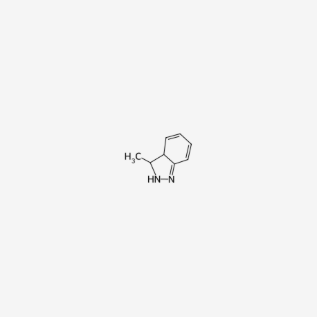 CC1NN=C2C=CC=CC21